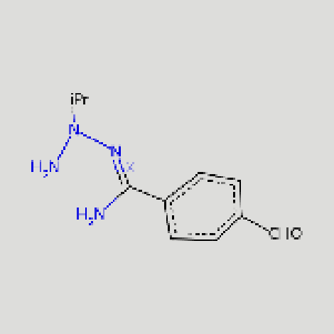 CC(C)N(N)/N=C(\N)c1ccc(C=O)cc1